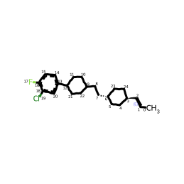 C/C=C/[C@H]1CC[C@H](CCC2CCC(c3ccc(F)c(Cl)c3)CC2)CC1